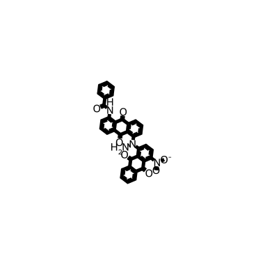 NN(c1cccc2c1C(=O)c1cccc(NC(=O)c3ccccc3)c1C2=O)c1ccc([N+](=O)[O-])c2c1C(=O)c1ccccc1C2=O